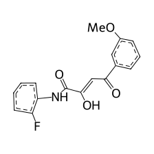 COc1cccc(C(=O)/C=C(\O)C(=O)Nc2ccccc2F)c1